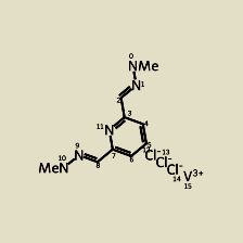 CNN=Cc1cccc(C=NNC)n1.[Cl-].[Cl-].[Cl-].[V+3]